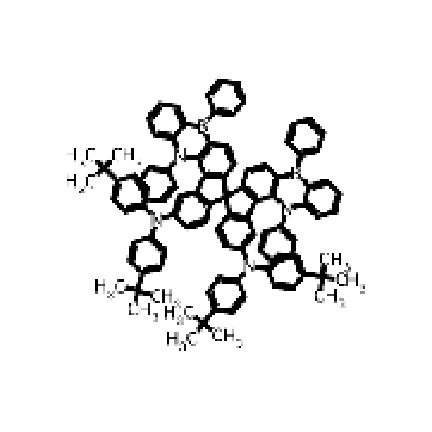 CC(C)(C)c1ccc(N(c2ccc(C(C)(C)C)cc2)c2ccc3c(c2)-c2c(ccc4c2N(c2ccccc2)c2ccccc2B4c2ccccc2)C32c3ccc(N(c4ccc(C(C)(C)C)cc4)c4ccc(C(C)(C)C)cc4)cc3-c3c2ccc2c3N(c3ccccc3)c3ccccc3B2c2ccccc2)cc1